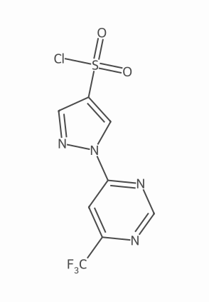 O=S(=O)(Cl)c1cnn(-c2cc(C(F)(F)F)ncn2)c1